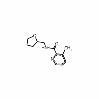 Cc1cccnc1C(=O)NCC1CCCO1